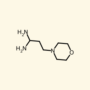 NC(N)CCN1CCOCC1